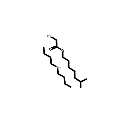 CC(C)CCCCCOC(=O)CS.CCC[CH2][Sn][CH2]CCC